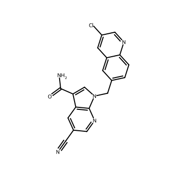 N#Cc1cnc2c(c1)c(C(N)=O)cn2Cc1ccc2ncc(Cl)cc2c1